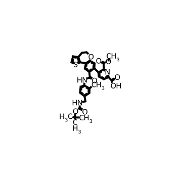 COC(=O)c1nc(C(=O)O)ccc1-c1cc2c(cc1C(=O)Nc1ccc(CNC(=O)OC(C)(C)C)cc1C)-c1sccc1CCO2